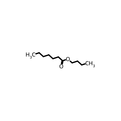 CCCCCCC(=O)OCCCC